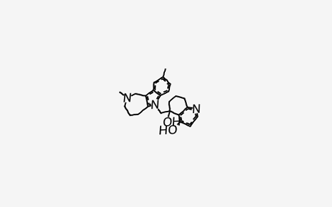 Cc1ccc2c(c1)c1c(n2CC2(O)CCCc3nccc(O)c32)CCCN(C)C1